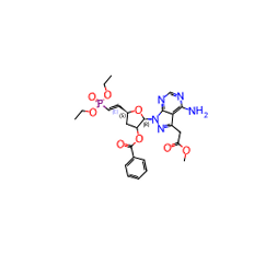 CCOP(=O)(/C=C/[C@@H]1CC(OC(=O)c2ccccc2)[C@H](n2nc(CC(=O)OC)c3c(N)ncnc32)O1)OCC